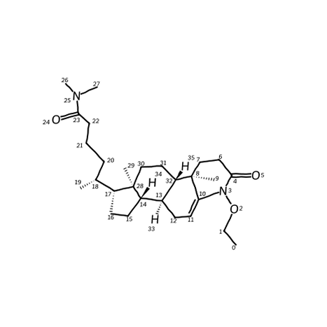 CCON1C(=O)CC[C@@]2(C)C1=CC[C@H]1[C@@H]3CC[C@H]([C@H](C)CCCC(=O)N(C)C)[C@@]3(C)CC[C@@H]12